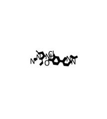 CC[C@@H]1[C@H](NC(=O)c2ccc(-c3ccc4nc(C)cn4c3)cc2Cl)C[C@H](C)N1C#N